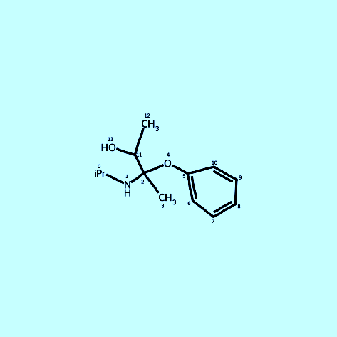 CC(C)NC(C)(Oc1ccccc1)C(C)O